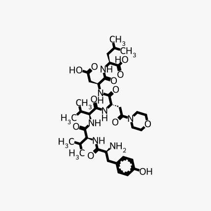 CC(C)C[C@H](NC(=O)[C@H](CC(=O)O)NC(=O)[C@H](CC(=O)N1CCOCC1)NC(=O)[C@@H](NC(=O)[C@@H](NC(=O)[C@@H](N)Cc1ccc(O)cc1)C(C)C)C(C)C)C(=O)O